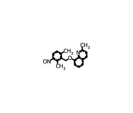 Cc1ccc2cccc(OCc3c(C)ccc(N=O)c3C)c2n1